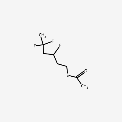 CC(=O)SCCC(F)CC(C)(F)F